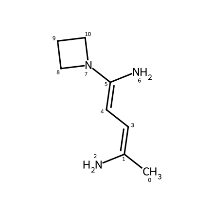 C/C(N)=C/C=C(\N)N1CCC1